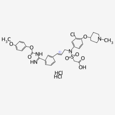 COc1ccc(OC(=O)NC(=N)c2cccc(/C=C/CN(c3ccc(OC4CCN(C)CC4)c(Cl)c3)S(=O)(=O)CC(=O)O)c2)cc1.Cl.Cl